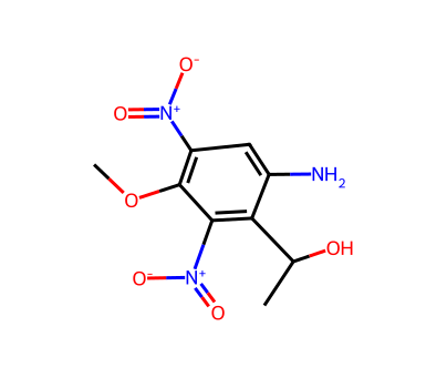 COc1c([N+](=O)[O-])cc(N)c(C(C)O)c1[N+](=O)[O-]